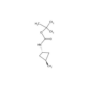 [CH2][C@H]1C[C@H](NC(=O)OC(C)(C)C)C1